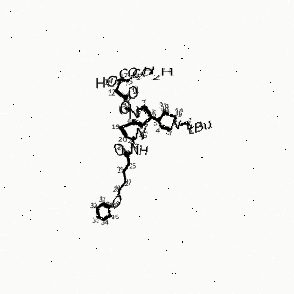 CC(C)(C)CN1C=CC(c2cn(OC(=O)CC(O)(CC(=O)O)C(=O)O)c3ccc(NC(=O)CCCCOc4ccccc4)nc23)CC1